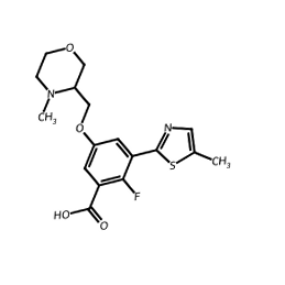 Cc1cnc(-c2cc(OCC3COCCN3C)cc(C(=O)O)c2F)s1